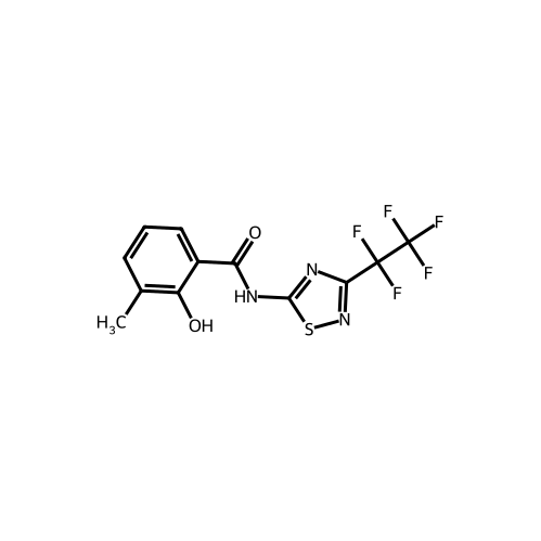 Cc1cccc(C(=O)Nc2nc(C(F)(F)C(F)(F)F)ns2)c1O